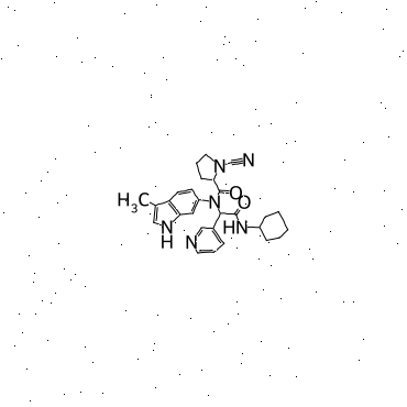 Cc1c[nH]c2cc(N(C(=O)C3CCCN3C#N)C(C(=O)NC3CCCCC3)c3cccnc3)ccc12